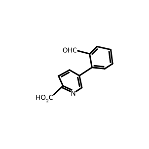 O=Cc1ccccc1-c1ccc(C(=O)O)nc1